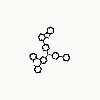 c1ccc(-c2ccc(N(c3ccc(-c4cccc5c4oc4ccccc45)cc3)c3ccc4c(c3)-c3ccccc3Oc3ccccc3-4)cc2)cc1